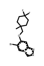 CC1(COc2cc3nncn3cc2Br)CCC(F)(F)CC1